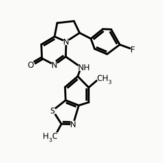 Cc1nc2cc(C)c(Nc3nc(=O)cc4n3C(c3ccc(F)cc3)CC4)cc2s1